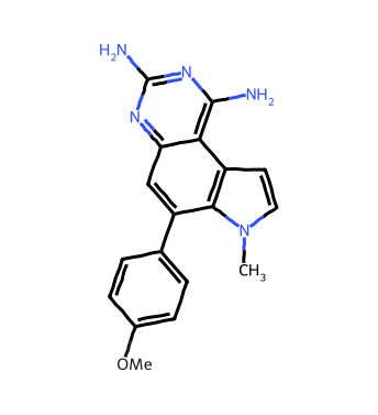 COc1ccc(-c2cc3nc(N)nc(N)c3c3ccn(C)c23)cc1